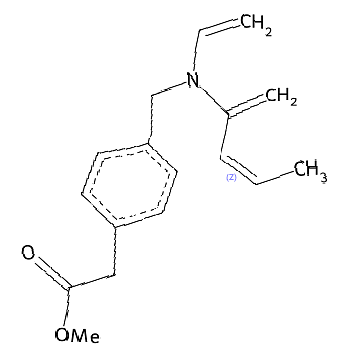 C=CN(Cc1ccc(CC(=O)OC)cc1)C(=C)/C=C\C